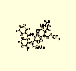 CSCN1C(=O)C(NC(=O)[C@H](CCC(F)(F)F)[C@H](CC2CC2)C(N)=O)N=C(c2ccccc2)c2cccc(F)c21